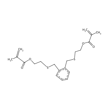 C=C(C)C(=O)OCCSCc1ccccc1CSCCOC(=O)C(=C)C